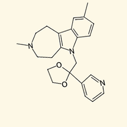 Cc1ccc2c(c1)c1c(n2CC2(c3cccnc3)OCCO2)CCN(C)CC1